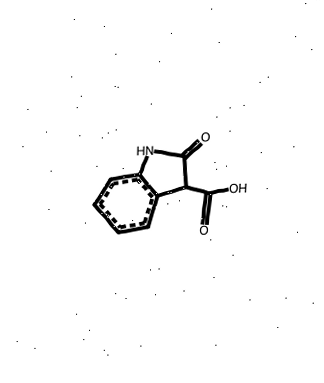 O=C(O)C1C(=O)Nc2ccccc21